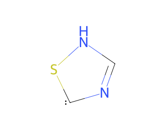 [C]1N=CNS1